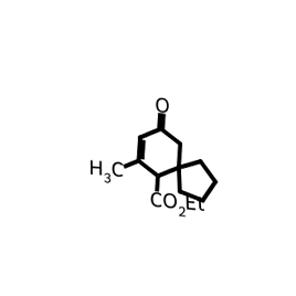 CCOC(=O)C1C(C)=CC(=O)CC12CCCC2